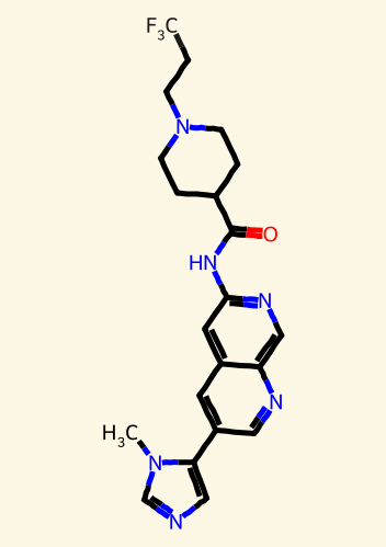 Cn1cncc1-c1cnc2cnc(NC(=O)C3CCN(CCC(F)(F)F)CC3)cc2c1